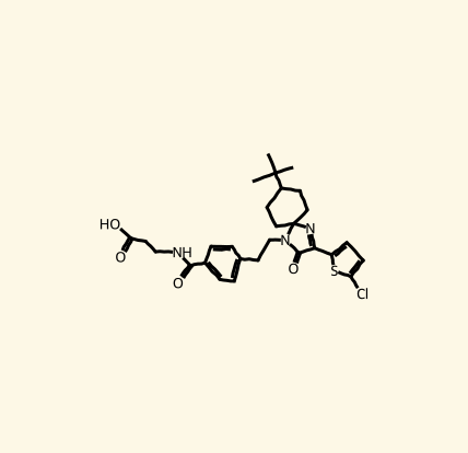 CC(C)(C)C1CCC2(CC1)N=C(c1ccc(Cl)s1)C(=O)N2CCc1ccc(C(=O)NCCC(=O)O)cc1